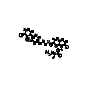 CC(N)C(=O)OCn1c(=O)ccc2ccc(OCCCCN3CCN(c4cccc(Cl)c4Cl)CC3)cc21